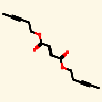 CC#CCCOC(=O)C=CC(=O)OCCC#CC